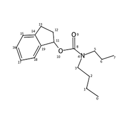 CCCCN(CCC)C(=O)OC1CCc2ccccc21